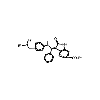 CCOC(=O)c1ccc2c(c1)NC(=O)/C2=C(\Nc1ccc(CN(C(C)C)C(C)C)cc1)c1ccccc1